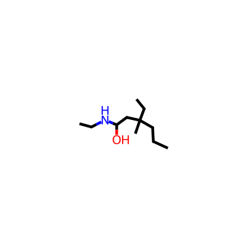 CCCC(C)(CC)CC(O)NCC